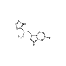 NC(Cc1c[nH]c2cc(Cl)ccc12)c1nnn[nH]1